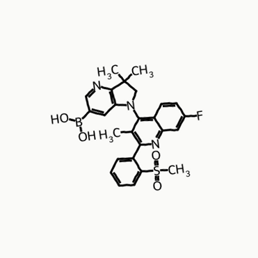 Cc1c(-c2ccccc2S(C)(=O)=O)nc2cc(F)ccc2c1N1CC(C)(C)c2ncc(B(O)O)cc21